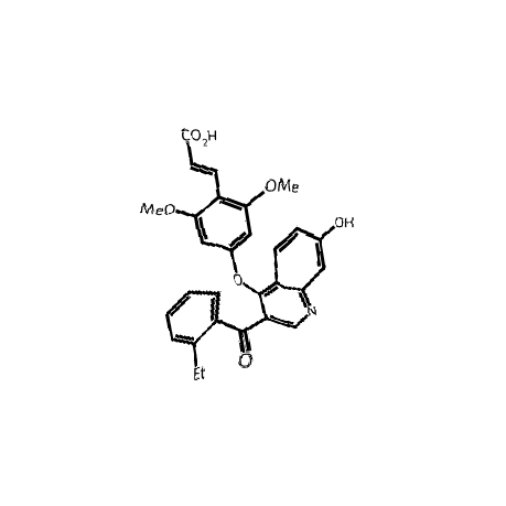 CCc1ccccc1C(=O)c1cnc2cc(O)ccc2c1Oc1cc(OC)c(/C=C/C(=O)O)c(OC)c1